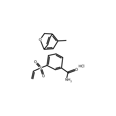 C=CS(=O)(=O)c1cccc(C(N)=O)c1.Cc1cc2ccc1CO2.Cl